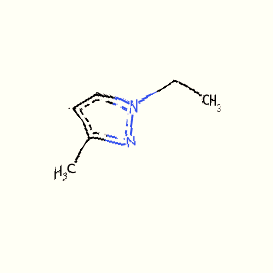 CCn1c[c]c(C)n1